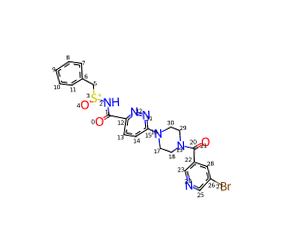 O=C(N[S+]([O-])Cc1ccccc1)c1ccc(N2CCN(C(=O)c3cncc(Br)c3)CC2)nn1